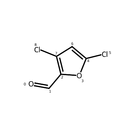 O=Cc1oc(Cl)cc1Cl